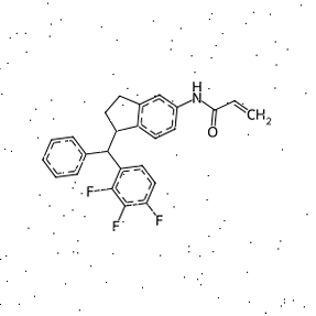 C=CC(=O)Nc1ccc2c(c1)CCC2C(c1ccccc1)c1ccc(F)c(F)c1F